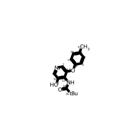 Cc1ccc(Oc2cncc(O)c2NC(=O)C(C)(C)C)cc1